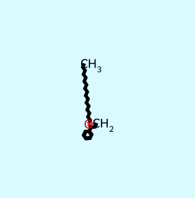 C=CC(OCCCCCCCCCCCCCCCCC)c1ccccc1